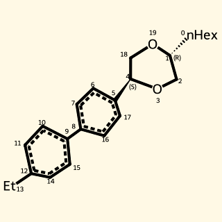 CCCCCC[C@@H]1CO[C@@H](c2ccc(-c3ccc(CC)cc3)cc2)CO1